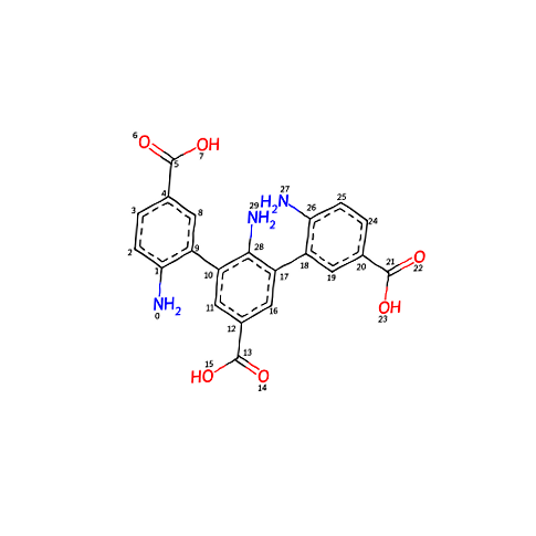 Nc1ccc(C(=O)O)cc1-c1cc(C(=O)O)cc(-c2cc(C(=O)O)ccc2N)c1N